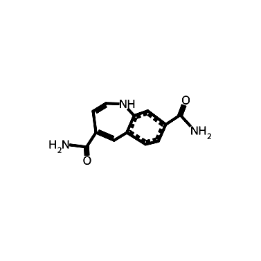 NC(=O)C1=Cc2ccc(C(N)=O)cc2NC=C1